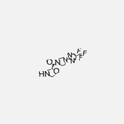 O=C([C@@H]1CNCCO1)N1CCN(c2ncc(C(F)(F)F)cn2)CC1